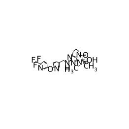 CCN1c2nc(NCc3ccc(Oc4ccc(C(F)(F)F)nc4)nc3)nc3c2N(CCC3)C(=O)[C@@H]1[C@@H](C)O